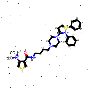 CC(C)(C)N(C(=O)O)c1cscc1C(=O)NCCCCN1CCN(C2=CC=S(c3ccccc3)N2c2ccccc2)CC1